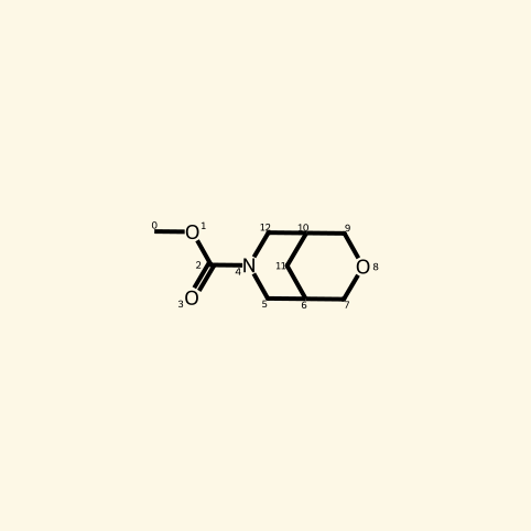 COC(=O)N1CC2COCC(C2)C1